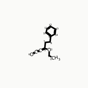 CCOC(=C=C=O)CCc1ccccc1